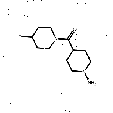 CCC1CCN(C(=O)C2CCN(N)CC2)CC1